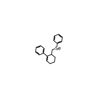 C1=C(c2ccccc2)C(C[Se]c2ccccc2)CCC1